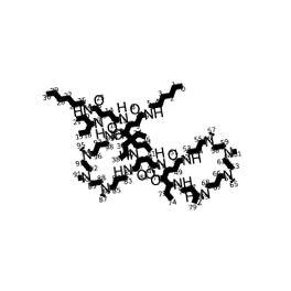 CCCCCCNC(=O)CC(NC(=O)CC(NC(CC)CC)C(=O)NCCCCCC)C(=O)C(CC)(CCC)C(CC)NC(CC(=O)NC(CC(=O)NCCCN(C)CCN(C)CCN(C)CCCN)C(=O)C(CC)NCCCC)C(=O)NCCCN(C)CCN(C)CCN(C)CCCN